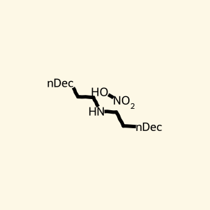 CCCCCCCCCCCCNCCCCCCCCCCCC.O=[N+]([O-])O